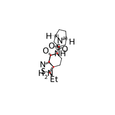 CCc1cc(C(=O)N[C@H]2C[C@H]3CC[C@@H](C2)N3S(=O)(=O)C2CCC(N)CC2)ns1